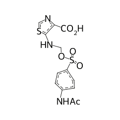 CC(=O)Nc1ccc(S(=O)(=O)OCNc2scnc2C(=O)O)cc1